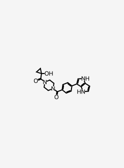 O=C(c1ccc(-c2c[nH]c3cc[nH]c23)cc1)N1CCN(C(=O)C2(O)CC2)CC1